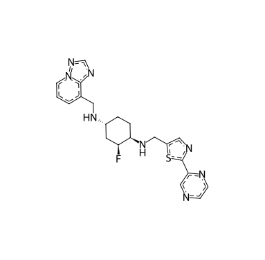 F[C@H]1C[C@H](NCc2cccn3ncnc23)CC[C@H]1NCc1cnc(-c2cnccn2)s1